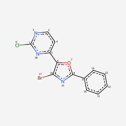 Clc1nccc(-c2oc(-c3ccccc3)nc2Br)n1